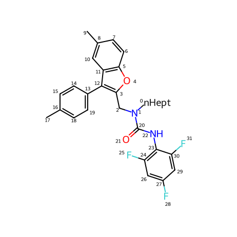 CCCCCCCN(Cc1oc2ccc(C)cc2c1-c1ccc(C)cc1)C(=O)Nc1c(F)cc(F)cc1F